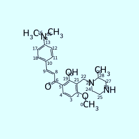 COc1ccc(C(=O)/C=C/c2ccc(N(C)C)cc2)c(O)c1CN1CCNCC1C